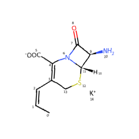 C/C=C\C1=C(C(=O)[O-])N2C(=O)[C@@H](N)[C@@H]2SC1.[K+]